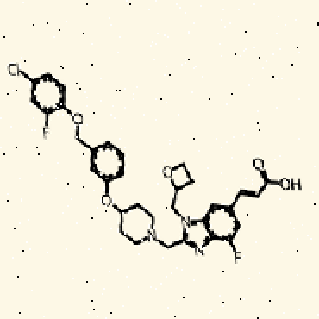 O=C(O)/C=C/c1cc(F)c2nc(CN3CCC(Oc4cccc(COc5ccc(Cl)cc5F)c4)CC3)n(C[C@@H]3CCO3)c2c1